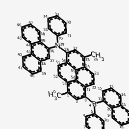 Cc1cc(B(c2ccccc2)c2cccc3ccccc23)c2ccc3c(C)cc(N(c4ccccc4)c4cc5ccccc5c5ccccc45)c4ccc1c2c34